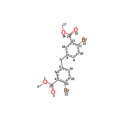 COC(=O)c1cc(Cc2ccc(Br)c(C(=O)OC)c2)ccc1Br